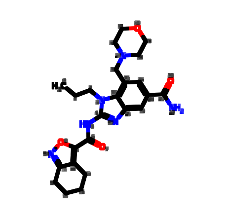 CCCn1c(NC(=O)c2onc3c2CCCC3)nc2cc(C(N)=O)cc(CN3CCOCC3)c21